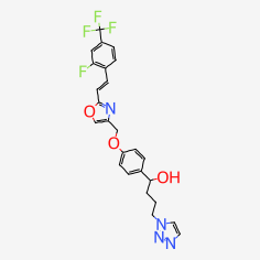 OC(CCCn1ccnn1)c1ccc(OCc2coc(C=Cc3ccc(C(F)(F)F)cc3F)n2)cc1